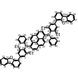 CCc1cc(-c2cccc3c2oc2ccccc23)cc(CC)c1N(c1ccccc1)c1ccc2ccc3c(N(c4ccccc4)c4c(CC)cc(-c5cccc6c5oc5ccccc56)cc4CC)ccc4ccc1c2c43